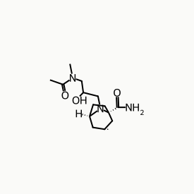 CC(=O)N(C)CC(O)CN1[C@H]2C[CH]C[C@]1(C(N)=O)CC2